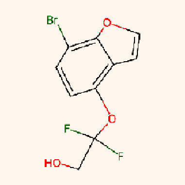 OCC(F)(F)Oc1ccc(Br)c2occc12